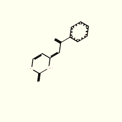 O=C1NC=C/C(=C\C(=O)c2ccccc2)N1